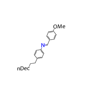 CCCCCCCCCCCCc1ccc(/N=C/c2ccc(OC)cc2)cc1